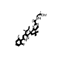 CC[C@H](C)c1cc(-c2c(F)cccc2F)nnc1[C@@](C)(CC(C)(C)C)c1ccnc(C(=O)NC[C@H](C)O)n1